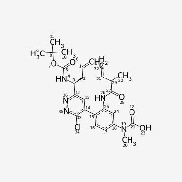 C=CC[C@H](NC(=O)OC(C)(C)C)c1cc(-c2ccc(N(C)C(=O)O)cc2NC(=O)C(C)C=C)c(Cl)nn1